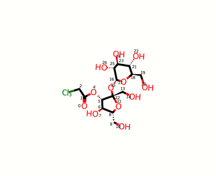 O=C(CCl)O[C@H]1[C@H](O)[C@@H](CO)O[C@@]1(CO)O[C@H]1O[C@H](CO)[C@@H](O)[C@H](O)[C@H]1O